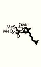 COCO[C@@]1(Cc2cc(CCCCC3CC3)c(C)cn2)C(=O)N(COC)[C@H]1CSC